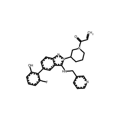 C=CC(=O)N1CCCC(n2nc3ccc(-c4c(O)cccc4F)cc3c2NCc2cccnc2)C1